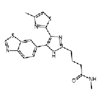 CNC(=O)CCCc1nc(-c2nc(C)cs2)c(-c2ccc3ncsc3c2)[nH]1